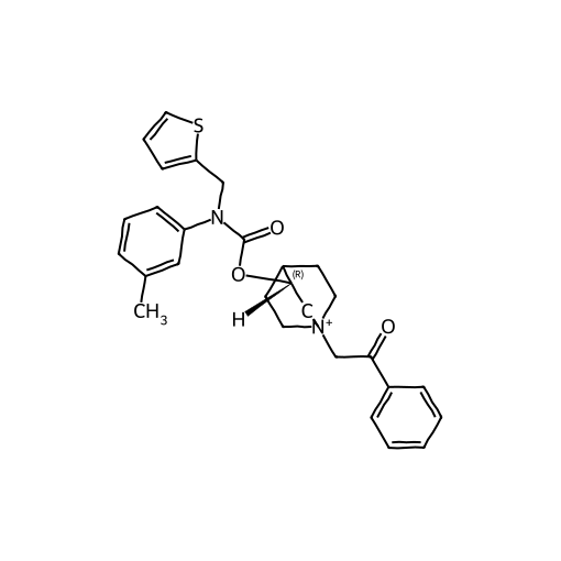 Cc1cccc(N(Cc2cccs2)C(=O)O[C@H]2C[N+]3(CC(=O)c4ccccc4)CCC2CC3)c1